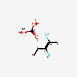 CCC(F)=C(C)F.O=C(O)O